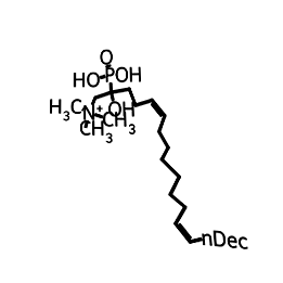 CCCCCCCCCC/C=C\CCCCCC/C=C\CCC(O)(C[N+](C)(C)C)P(=O)(O)O